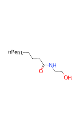 CCCCCCCCC(=O)NCCO